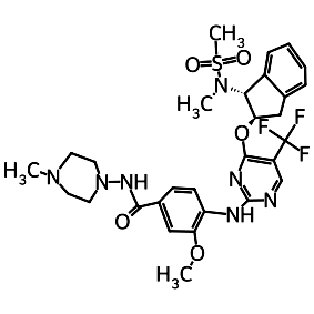 COc1cc(C(=O)NN2CCN(C)CC2)ccc1Nc1ncc(C(F)(F)F)c(O[C@@H]2Cc3ccccc3[C@H]2N(C)S(C)(=O)=O)n1